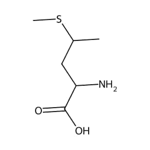 CSC(C)CC(N)C(=O)O